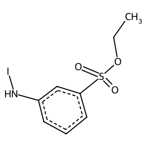 CCOS(=O)(=O)c1cccc(NI)c1